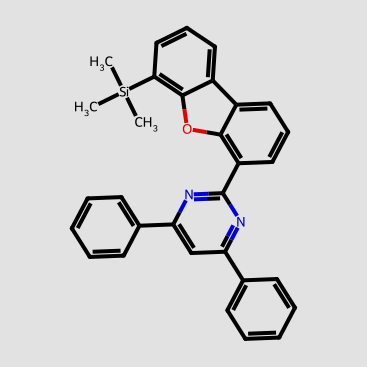 C[Si](C)(C)c1cccc2c1oc1c(-c3nc(-c4ccccc4)cc(-c4ccccc4)n3)cccc12